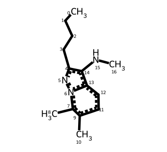 CCCCc1nn2c(C)c(C)ccc2c1NC